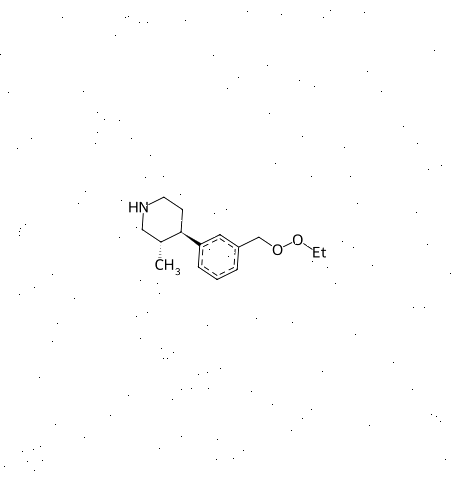 CCOOCc1cccc([C@@H]2CCNC[C@H]2C)c1